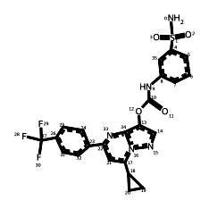 NS(=O)(=O)c1cccc(NC(=O)Oc2cnn3c(C4CC4)cc(-c4ccc(C(F)(F)F)cc4)nc23)c1